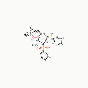 C[C@H]1C(S(=O)(=O)c2ccccc2)C=C(Sc2ccccc2)CC[C@H]1O[Si](C)(C)C